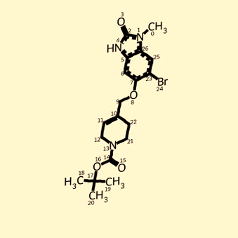 Cn1c(=O)[nH]c2cc(OCC3=CCN(C(=O)OC(C)(C)C)CC3)c(Br)cc21